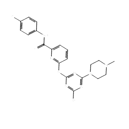 CCc1nc(Nc2cccc(C(=O)Nc3ccc(F)cc3)n2)nc(N2CCN(C)CC2)n1